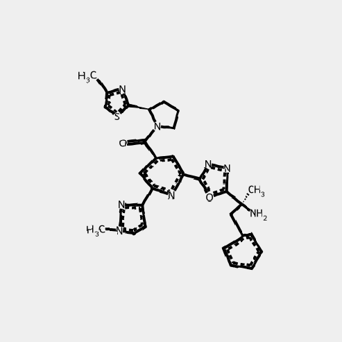 Cc1csc([C@H]2CCCN2C(=O)c2cc(-c3ccn(C)n3)nc(-c3nnc([C@@](C)(N)Cc4ccccc4)o3)c2)n1